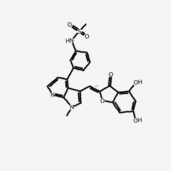 Cn1cc(/C=C2\Oc3cc(O)cc(O)c3C2=O)c2c(-c3cccc(NS(C)(=O)=O)c3)ccnc21